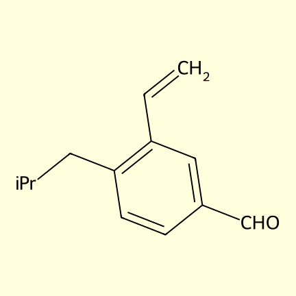 C=Cc1cc(C=O)ccc1CC(C)C